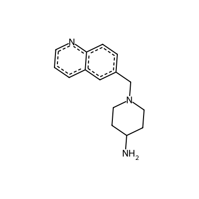 NC1CCN(Cc2ccc3ncccc3c2)CC1